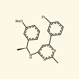 CCc1cccc(-c2cc(N[C@@H](C)c3cccc(OC)c3)nc(C)n2)c1